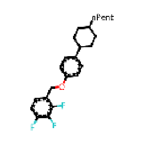 CCCCCC1CCC(c2ccc(OCc3ccc(F)c(F)c3F)cc2)CC1